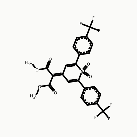 COC(=O)C(C(=O)OC)=C1C=C(c2ccc(C(F)(F)F)cc2)S(=O)(=O)C(c2ccc(C(F)(F)F)cc2)=C1